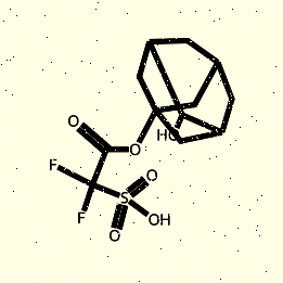 O=C(OC12CC3CC(C1)C(O)C(C3)C2)C(F)(F)S(=O)(=O)O